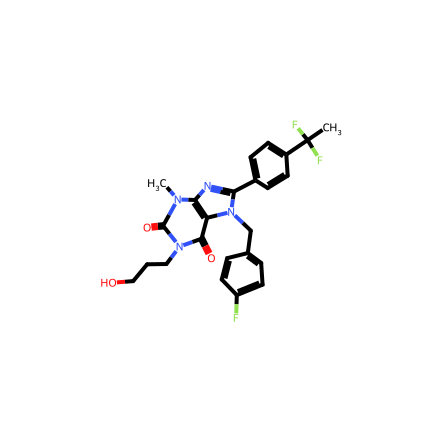 Cn1c(=O)n(CCCO)c(=O)c2c1nc(-c1ccc(C(C)(F)F)cc1)n2Cc1ccc(F)cc1